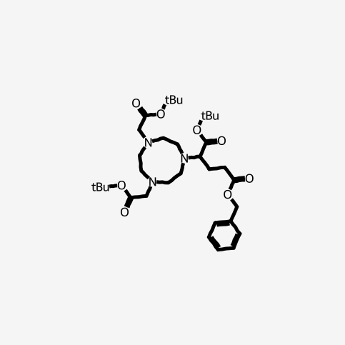 CC(C)(C)OC(=O)CN1CCN(CC(=O)OC(C)(C)C)CCN(C(CCC(=O)OCc2ccccc2)C(=O)OC(C)(C)C)CC1